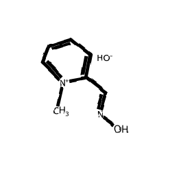 C[n+]1ccccc1C=NO.[OH-]